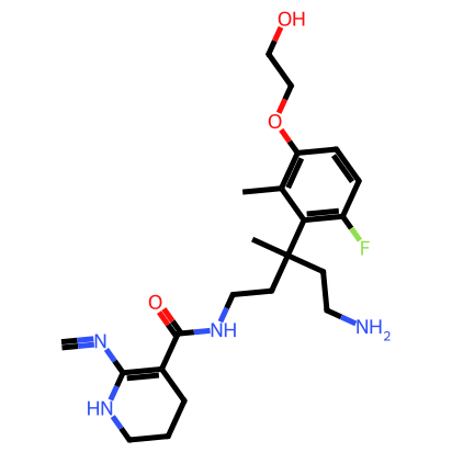 C=NC1=C(C(=O)NCCC(C)(CCN)c2c(F)ccc(OCCO)c2C)CCCN1